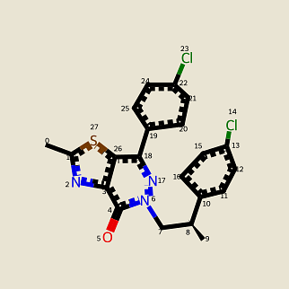 Cc1nc2c(=O)n(C[C@H](C)c3ccc(Cl)cc3)nc(-c3ccc(Cl)cc3)c2s1